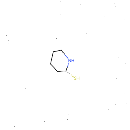 S[C@@H]1CCCCN1